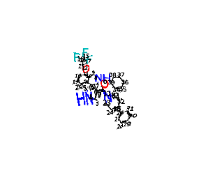 O=C([C@H]1CNC[C@]12CNCc1c(OCC(F)(F)F)cccc12)N1CC[C@@H](c2ccccc2)C[C@H]1C1CCCCC1